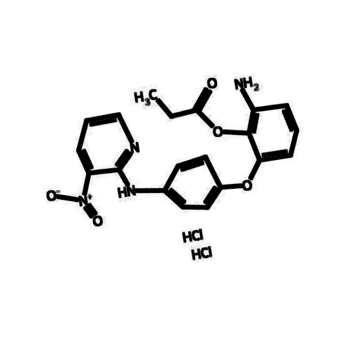 CCC(=O)Oc1c(N)cccc1Oc1ccc(Nc2ncccc2[N+](=O)[O-])cc1.Cl.Cl